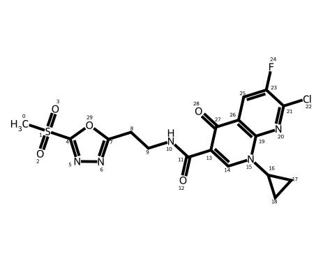 CS(=O)(=O)c1nnc(CCNC(=O)c2cn(C3CC3)c3nc(Cl)c(F)cc3c2=O)o1